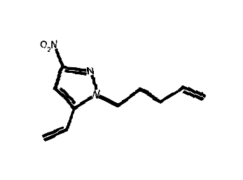 C=CCCCn1nc([N+](=O)[O-])cc1C=C